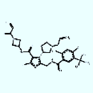 C=CCN1CC[C@@H](n2c(CNC(=N)c3cc(C(C)(C)C)c(Cl)cc3N)nc(Cl)c2C(=O)NC2CN(C(=O)C=C)C2)C1